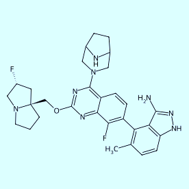 Cc1ccc2[nH]nc(N)c2c1-c1ccc2c(N3CC4CCC(C3)N4)nc(OC[C@@]34CCCN3C[C@H](F)C4)nc2c1F